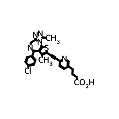 Cc1c(C#Cc2ccc(CCCC(=O)O)cn2)sc2c1C(c1ccc(Cl)cc1)=NCc1nnc(C)n1-2